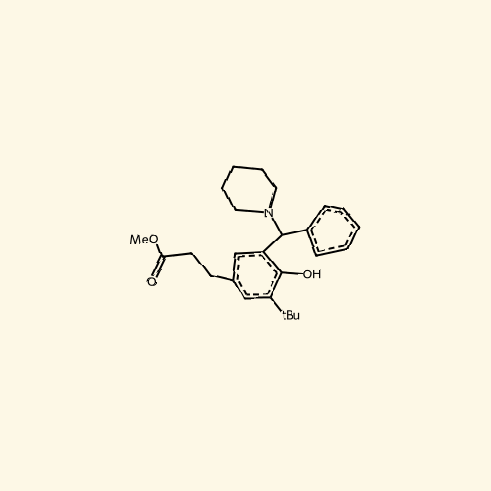 COC(=O)CCc1cc(C(c2ccccc2)N2CCCCC2)c(O)c(C(C)(C)C)c1